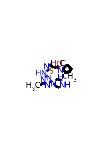 CCc1nc(Nc2ncc(C(=O)Nc3c(C)cccc3C)s2)nc(N2CCNCC2)n1